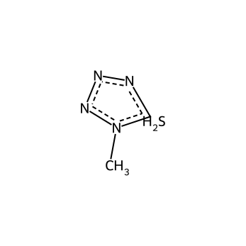 Cn1cnnn1.S